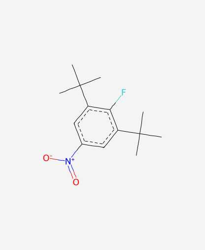 CC(C)(C)c1cc([N+](=O)[O-])cc(C(C)(C)C)c1F